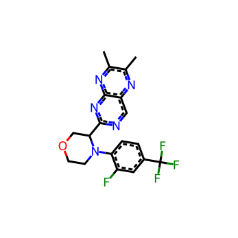 Cc1nc2cnc(C3COCCN3c3ccc(C(F)(F)F)cc3F)nc2nc1C